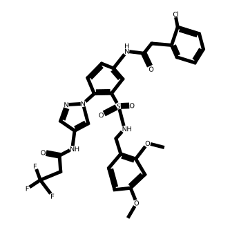 COc1ccc(CNS(=O)(=O)c2cc(NC(=O)Cc3ccccc3Cl)ccc2-n2cc(NC(=O)CC(F)(F)F)cn2)c(OC)c1